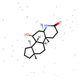 C[C@@]12CCC[C@H]1[C@@H]1[C@@H](O)C[C@H]3NC(=O)CC[C@]3(C)[C@H]1CC2